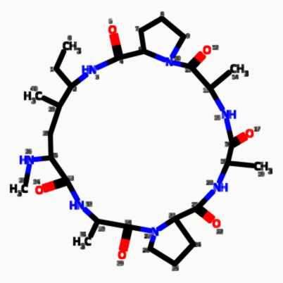 CCC1NC(=O)C2CCCN2C(=O)C(C)NC(=O)C(C)NC(=O)C2CCCN2C(=O)C(C)NC(=O)C(NC)CC1C